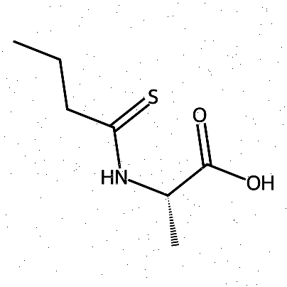 CCCC(=S)N[C@@H](C)C(=O)O